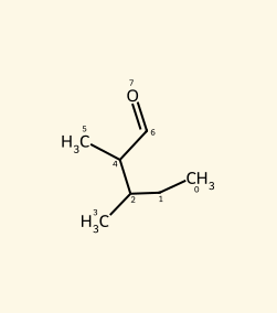 CCC(C)C(C)C=O